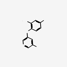 O=C(O)c1cc(Cl)ccc1Oc1cncc(Cl)c1